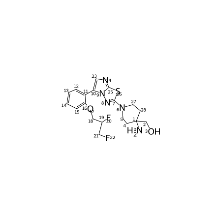 NC1(CO)CCN(c2nn3c(-c4ccccc4OCC(F)CF)cnc3s2)CC1